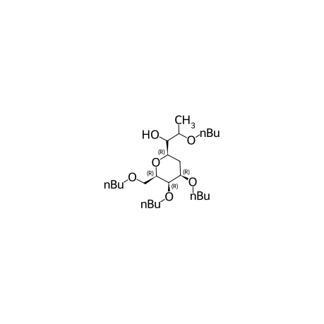 CCCCOC[C@H]1O[C@@H](C(O)C(C)OCCCC)C[C@@H](OCCCC)[C@H]1OCCCC